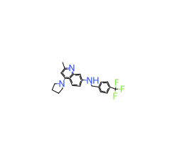 Cc1cc(N2CCCC2)c2ccc(NCc3ccc(C(F)(F)F)cc3)cc2n1